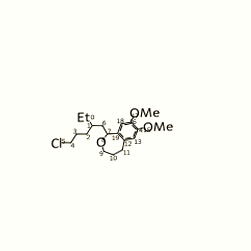 CCC(CCCCl)CC1OCCCc2cc(OC)c(OC)cc21